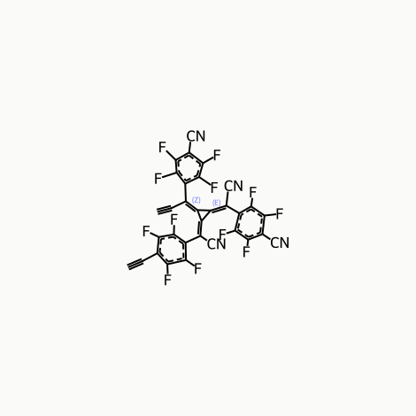 C#C/C(=C1\C(=C(C#N)c2c(F)c(F)c(C#C)c(F)c2F)\C1=C(\C#N)c1c(F)c(F)c(C#N)c(F)c1F)c1c(F)c(F)c(C#N)c(F)c1F